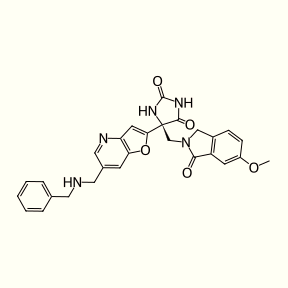 COc1ccc2c(c1)C(=O)N(C[C@@]1(c3cc4ncc(CNCc5ccccc5)cc4o3)NC(=O)NC1=O)C2